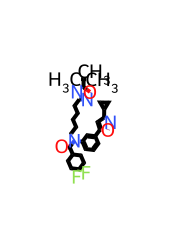 CC(C)(C)c1nc(CCCCCN(C(=O)C2CCC(F)(F)CC2)c2cccc(-c3cc(C4CC4)no3)c2)no1